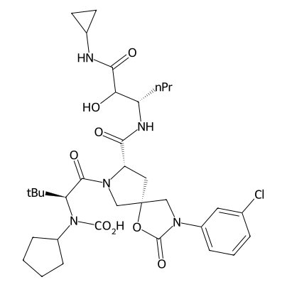 CCC[C@H](NC(=O)[C@@H]1C[C@@]2(CN(c3cccc(Cl)c3)C(=O)O2)CN1C(=O)[C@@H](N(C(=O)O)C1CCCC1)C(C)(C)C)C(O)C(=O)NC1CC1